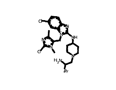 Cc1nc(Cl)n(C)c1Cn1c(NC2CCN(CC(N)C(C)C)CC2)nc2ccc(Cl)cc21